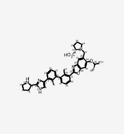 Cc1c(-c2c[nH]c(C3CCCN3)n2)cccc1-c1cccc(-c2nc3cc(CN4CCC[C@H]4C(=O)O)c(OC(F)F)cc3o2)c1C